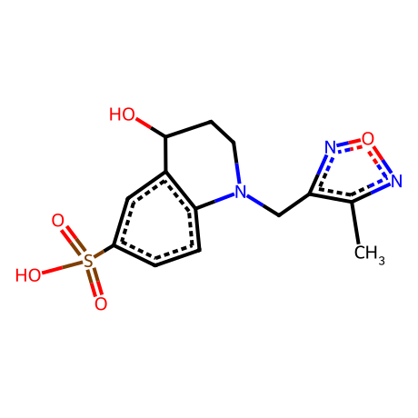 Cc1nonc1CN1CCC(O)c2cc(S(=O)(=O)O)ccc21